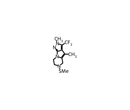 CSN1CCn2c(c(C)c3c(C(F)(F)F)n(C)nc32)C1